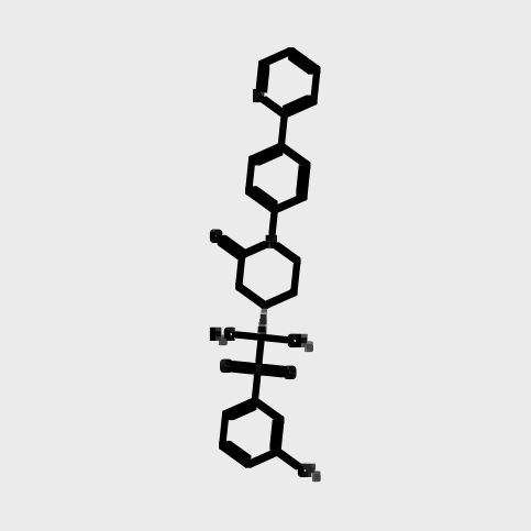 CC(C)([C@H]1CCN(c2ccc(-c3ccccn3)cc2)C(=O)C1)S(=O)(=O)c1cccc(C(F)(F)F)c1